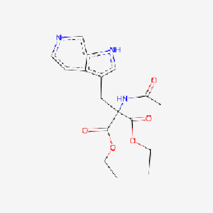 CCOC(=O)C(Cc1c[nH]c2cnccc12)(NC(C)=O)C(=O)OCC